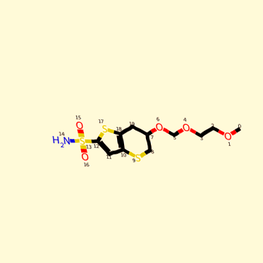 COCCOCOC1CSc2cc(S(N)(=O)=O)sc2C1